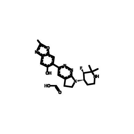 Cc1nc2cc(O)c(-c3cc4c(nn3)N([C@H]3CCNC(C)(C)[C@H]3F)CC4)cc2o1.O=CO